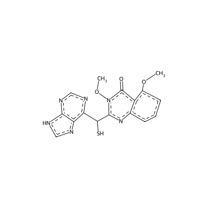 COc1cccc2nc(C(S)c3ncnc4[nH]cnc34)n(OC)c(=O)c12